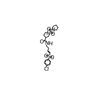 O=C(NCC/C=C/S(=O)(=O)c1ccc(Cl)cc1)C1CCN(S(=O)(=O)N2CCCC2)C1